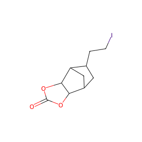 O=C1OC2C3CC(CCI)C(C3)C2O1